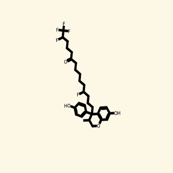 CC1COc2cc(O)ccc2C1(CCCC(F)CCCCCC(=O)CCCC(F)C(F)(F)F)c1ccc(O)cc1